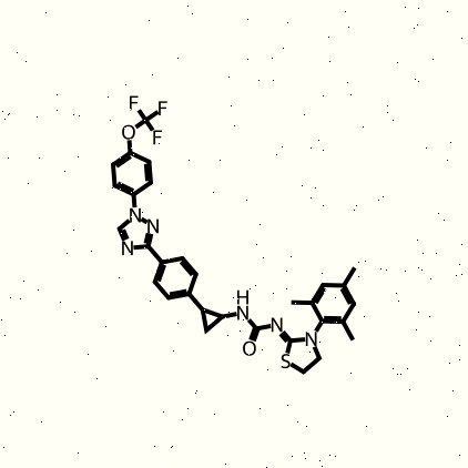 Cc1cc(C)c(N2CCS/C2=N\C(=O)NC2CC2c2ccc(-c3ncn(-c4ccc(OC(F)(F)F)cc4)n3)cc2)c(C)c1